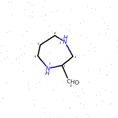 O=[C]C1CNCCCN1